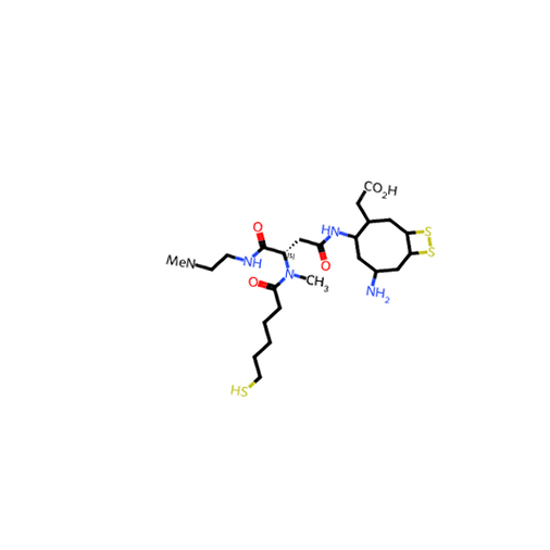 CNCCNC(=O)[C@H](CC(=O)NC1CC(N)CC2SSC2CC1CC(=O)O)N(C)C(=O)CCCCCS